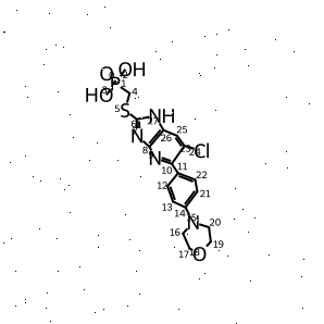 O=P(O)(O)CSc1nc2nc(-c3ccc(N4CCOCC4)cc3)c(Cl)cc2[nH]1